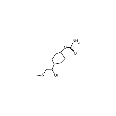 CSCC(O)C1CCC(OC(N)=O)CC1